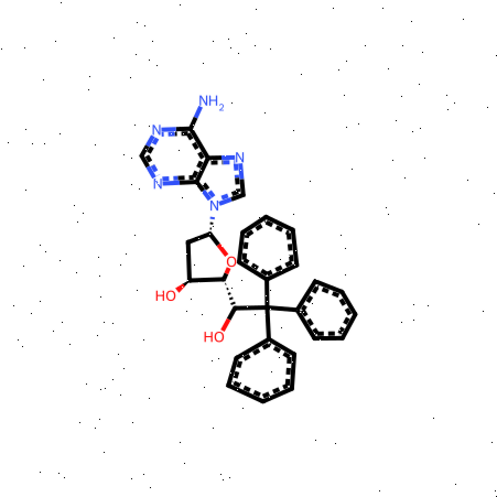 Nc1ncnc2c1ncn2[C@H]1C[C@H](O)[C@@H](C(O)C(c2ccccc2)(c2ccccc2)c2ccccc2)O1